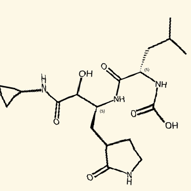 CC(C)C[C@H](NC(=O)O)C(=O)N[C@@H](CC1CCNC1=O)C(O)C(=O)NC1CC1